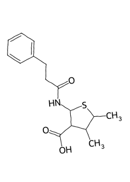 CC1SC(NC(=O)CCc2ccccc2)C(C(=O)O)C1C